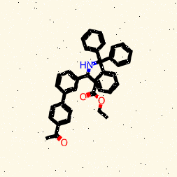 CCOC(=O)CC(NC(c1ccccc1)(c1ccccc1)c1ccccc1)c1cccc(-c2ccc(C(C)=O)cc2)c1